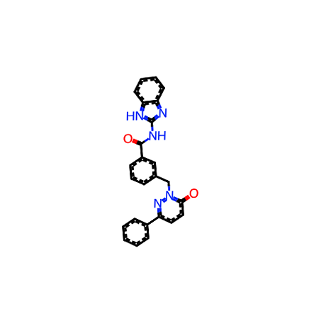 O=C(Nc1nc2ccccc2[nH]1)c1cccc(Cn2nc(-c3ccccc3)ccc2=O)c1